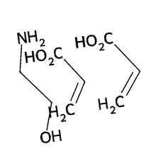 C=CC(=O)O.C=CC(=O)O.NCCO